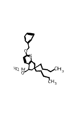 CCCCCC1(CCCCC)Cc2nc(OCc3ccccc3)ccc2C(O)C1.Cl